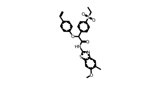 C=Cc1ccc(OC(C(=O)Nc2nc3cc(C)c(OC)cc3s2)c2ccc(S(=O)(=O)CC)cc2)cc1